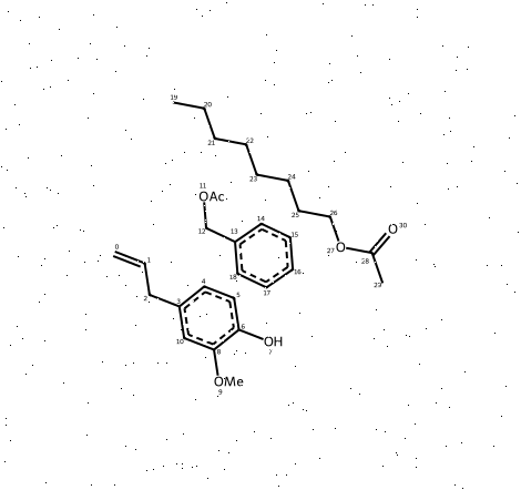 C=CCc1ccc(O)c(OC)c1.CC(=O)OCc1ccccc1.CCCCCCCCOC(C)=O